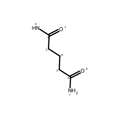 [NH]C(=O)CCCC(N)=O